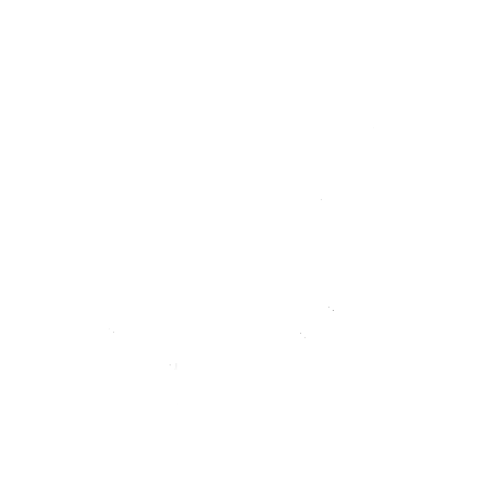 COc1cc2nc(C)nc(N[C@H](C)c3cc(N)cc(C(F)(F)F)c3)c2cc1C1CCC(C(=O)N2CCN(CC3CCC4(CC3)CCN(C(=O)c3ccc(N5CCC(=O)NC5=O)cc3)CC4)CC2)CC1